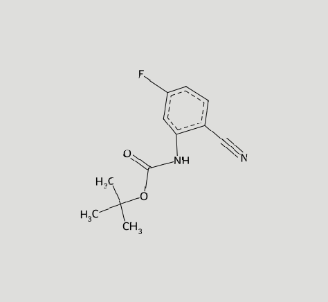 CC(C)(C)OC(=O)Nc1cc(F)ccc1C#N